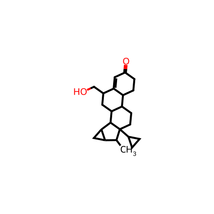 CC1C2CC2C2C3CC(CO)C4=CC(=O)CCC4C3CCC12C1CC1